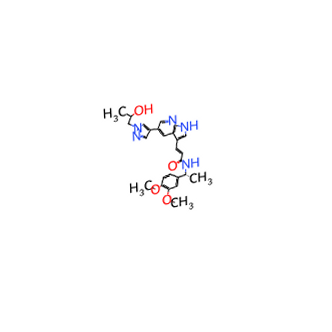 COc1ccc([C@@H](C)NC(=O)/C=C/c2c[nH]c3ncc(-c4cnn(CC(C)O)c4)cc23)cc1OC